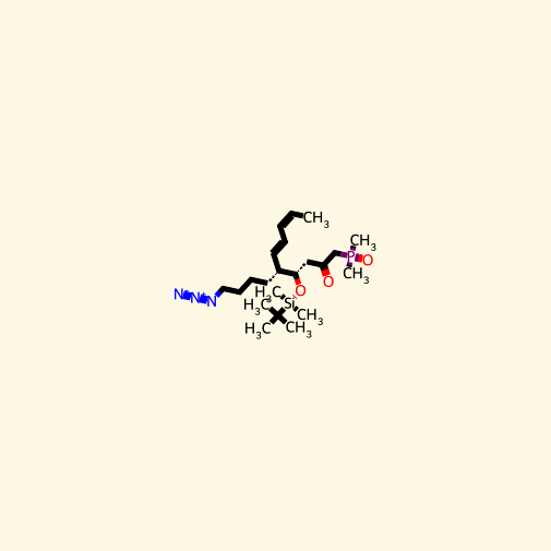 C/C=C\C=C\[C@@H](CCCCN=[N+]=[N-])[C@H](CC(=O)CP(C)(C)=O)O[Si](C)(C)C(C)(C)C